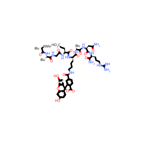 CC[C@H](C)C(NC)C(=O)N[C@H](C(=O)NCC(=O)N[C@@H](CCC(=O)O)C(=O)N[C@@H](CCCCNC(=O)c1ccc2c(c1)C1(OC2=O)c2ccc(O)cc2Oc2cc(O)ccc21)C(=O)N[C@H](C(=O)N[C@@H](CC(N)=O)C(=O)N[C@@H](CCCNC(=N)N)C(N)=O)[C@@H](C)CC)[C@@H](C)CC